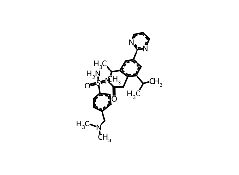 CC(C)c1cc(-c2ncccn2)cc(C(C)C)c1CC(=O)N=S(N)(=O)c1ccc(CN(C)C)cc1